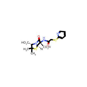 CC1(C)S[C@H]2N(C(=O)[C@@]2(NC(=O)CSc2ccccn2)C(=O)O)[C@H]1C(=O)O